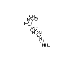 Cc1nc2c(F)cc(-c3ccnc(Nc4ccc(N5CCC(N)CC5)cn4)n3)cc2n1C1CCCC1